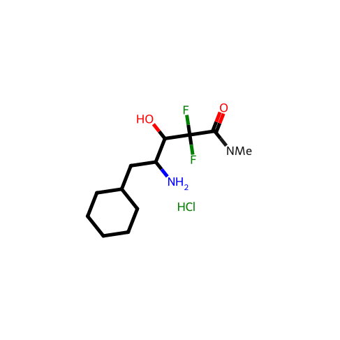 CNC(=O)C(F)(F)C(O)C(N)CC1CCCCC1.Cl